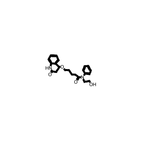 O=C1CC(OCCCCC(=O)N(CCO)c2ccccc2)c2ccccc2N1